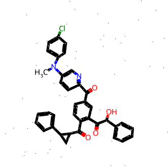 CN(c1ccc(Cl)cc1)c1ccc(C(=O)c2ccc(C(=O)C3CC3c3ccccc3)c(C(=O)C(O)c3ccccc3)c2)nc1